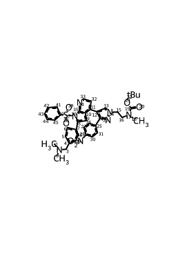 CN(C)Cc1ccc(-c2cc3c(-c4cn(CCN(C)C(=O)OC(C)(C)C)nc4-c4ccc([N+](=O)[O-])cc4)ccnc3n2S(=O)(=O)c2ccccc2)cc1